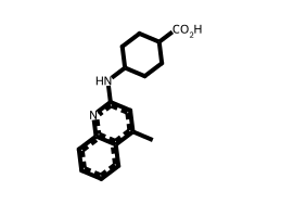 Cc1cc(NC2CCC(C(=O)O)CC2)nc2ccccc12